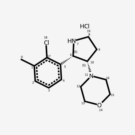 Cc1cccc([C@@H]2NCC[C@@H]2N2CCOCC2)c1Cl.Cl